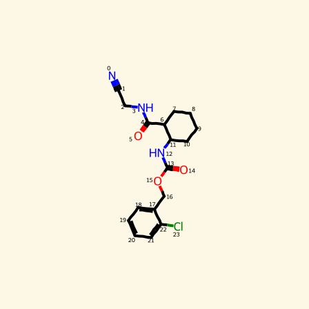 N#CCNC(=O)C1CCCCC1NC(=O)OCc1ccccc1Cl